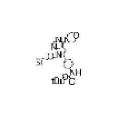 CC(C)(C)OC(=O)NC1CC=C(c2cc3c(N4CCOCC4)ncnc3n2COCC[Si](C)(C)C)CC1